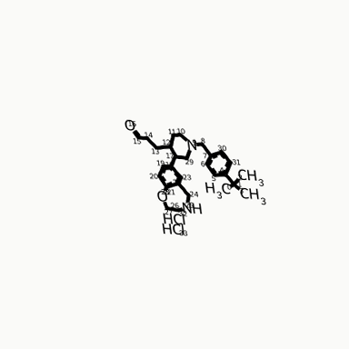 CC(C)(C)c1ccc(CN2CCC(CCC=O)C(c3ccc4c(c3)CNCCO4)C2)cc1.Cl.Cl